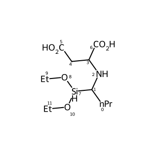 CCCC(NC(CC(=O)O)C(=O)O)[SiH](OCC)OCC